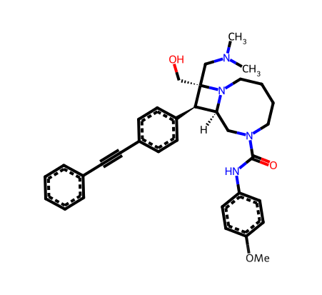 COc1ccc(NC(=O)N2CCCCN3[C@@H](C2)[C@@H](c2ccc(C#Cc4ccccc4)cc2)[C@@]3(CO)CN(C)C)cc1